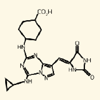 O=C1NC(=O)C(=Cc2cnn3c(NC4CC4)nc(NC4CCC(C(=O)O)CC4)nc23)N1